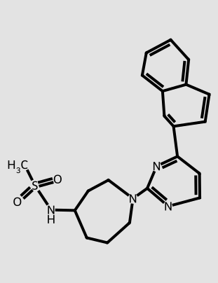 CS(=O)(=O)NC1CCCN(c2nccc(-c3ccc4ccccc4c3)n2)CC1